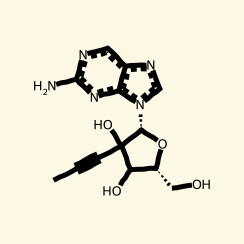 CC#CC1(O)C(O)[C@@H](CO)O[C@H]1n1cnc2cnc(N)nc21